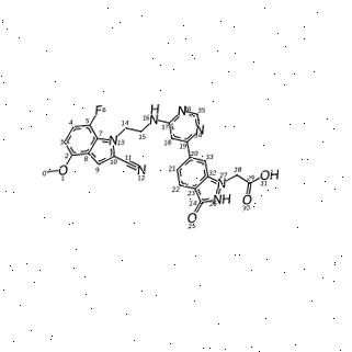 COc1ccc(F)c2c1cc(C#N)n2CCNc1cc(-c2ccc3c(=O)[nH]n(CC(=O)O)c3c2)ncn1